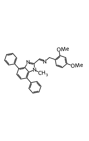 COc1ccc(CN=Cc2nc3c(-c4ccccc4)ccc(-c4ccccc4)c3n2C)c(OC)c1